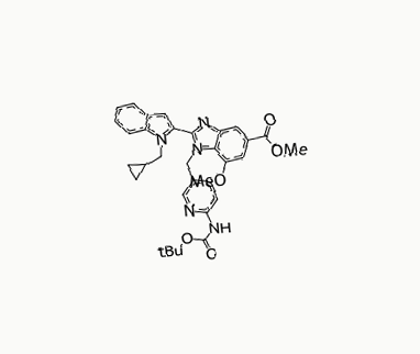 COC(=O)c1cc(OC)c2c(c1)nc(-c1cc3ccccc3n1CC1CC1)n2Cc1ccc(NC(=O)OC(C)(C)C)nc1